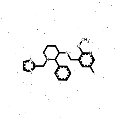 COc1ncc(I)cc1CNC1CCCN(Cc2ncc[nH]2)C1c1ccccc1